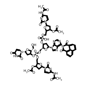 CC(=O)Nc1ccn(C2CC(OC(C)=O)C(COP(=O)(O)O[C@H]3C[C@@H](n4cnc5c(N6C(=O)c7cccc8cccc(c78)C6=O)ncnc54)O[C@H]3COP(=O)(OCC3OC(n4ccc(NC(C)=O)nc4=O)CC3OC(C)=O)OC3C[C@H](n4ccc(=O)[nH]c4=O)O[C@@H]3CO)O2)c(=O)n1